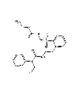 CCOC(=O)NCS(=O)(=O)c1ccccc1CCNC(=O)C(CCl)c1ccccc1